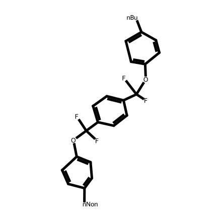 CCCCCCCCCc1ccc(OC(F)(F)c2ccc(C(F)(F)Oc3ccc(CCCC)cc3)cc2)cc1